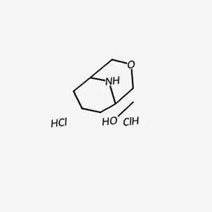 C1CC2COCC(C1)N2.CO.Cl.Cl